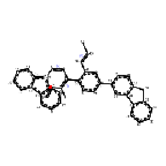 C=C/C(C)=C(\C=C/n1c2ccccc2c2ccccc21)c1ccc(-c2ccc3c(c2)-c2ccccc2C3)cc1/C=C/C